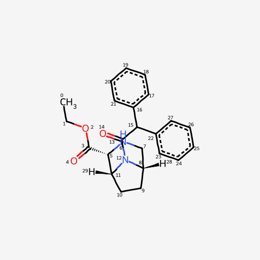 CCOC(=O)[C@@H]1NC[C@@H]2CC[C@H]1N2C(=O)C(c1ccccc1)c1ccccc1